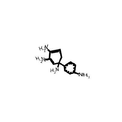 NC1=CCC(N)(c2ccc(N)cc2)C=C1N